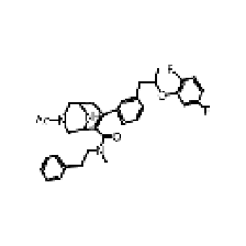 CC(=O)N1CC2CC(c3cccc(CC(C)Oc4cc(F)ccc4F)c3)=C(C(=O)N(C)CCc3ccccc3)C(C1)N2